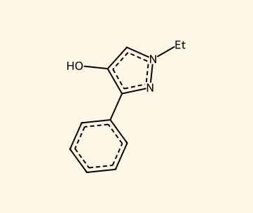 CCn1cc(O)c(-c2ccccc2)n1